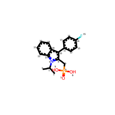 CC(C)n1c(CP(=O)(O)O)c(-c2ccc(F)cc2)c2ccccc21